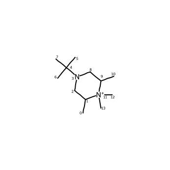 CC1CN(C(C)(C)C)CC(C)[N+]1(C)C